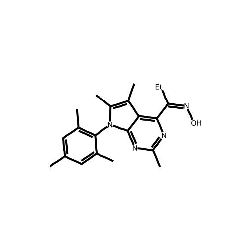 CC/C(=N/O)c1nc(C)nc2c1c(C)c(C)n2-c1c(C)cc(C)cc1C